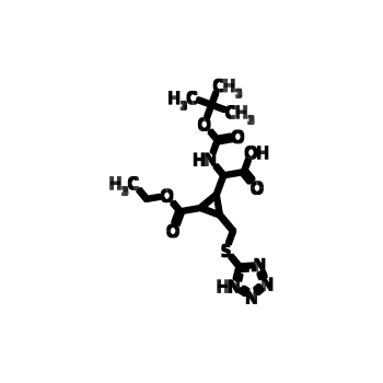 CCOC(=O)C1C(CSc2nnn[nH]2)C1C(NC(=O)OC(C)(C)C)C(=O)O